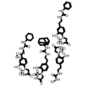 CCNC(=O)NCCc1ccc(N2CC(=O)NS2(=O)=O)c(O)c1.NC(=O)O.O=C1CN(c2ccc(CCNC(=O)NC34CC5CC(CC(C5)C3)C4)cc2O)S(=O)(=O)N1.O=C1CN(c2ccc(CCNC(=O)NC3CCCCC3)cc2O)S(=O)(=O)N1.O=C1CN(c2ccc(CCNC(=O)Nc3ccccc3)cc2O)S(=O)(=O)N1